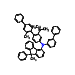 Cc1cc(-c2ccccc2)ccc1-c1ccc(N(c2cccc(-c3ccccc3)c2)c2cccc3c2-c2ccccc2C3(C)c2ccccc2)cc1[SiH](C)C